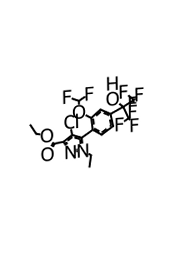 CCOC(=O)c1nn(CC)c(-c2ccc(C(O)(C(F)(F)F)C(F)(F)F)cc2OC(F)F)c1Cl